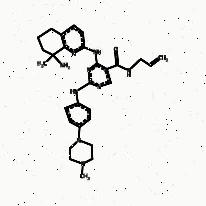 C=CCNC(=O)c1cnc(Nc2ccc(N3CCN(C)CC3)cc2)nc1Nc1ccc2c(n1)C(C)(N)CCC2